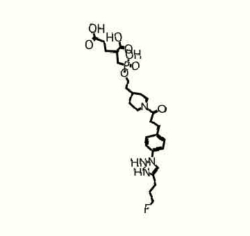 O=C(O)CCC(CP(=O)(O)OCCC1CCN(C(=O)CCc2ccc(N3C=C(CCCF)NN3)cc2)CC1)C(=O)O